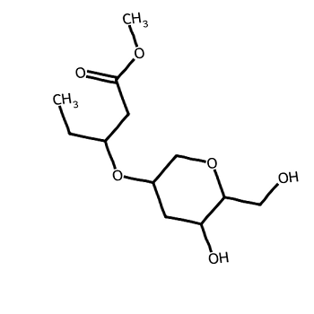 CCC(CC(=O)OC)OC1COC(CO)C(O)C1